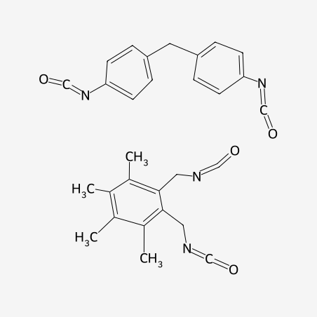 Cc1c(C)c(C)c(CN=C=O)c(CN=C=O)c1C.O=C=Nc1ccc(Cc2ccc(N=C=O)cc2)cc1